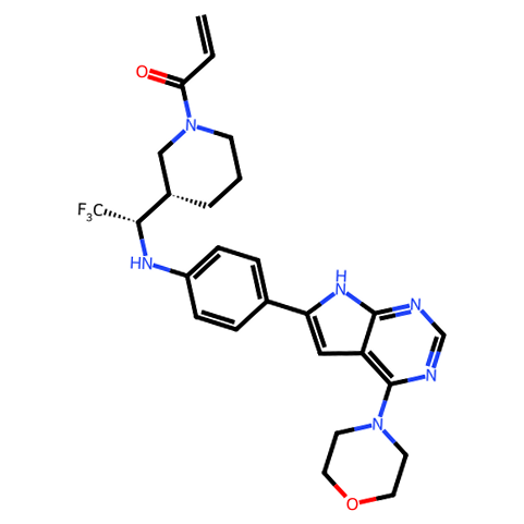 C=CC(=O)N1CCC[C@H]([C@H](Nc2ccc(-c3cc4c(N5CCOCC5)ncnc4[nH]3)cc2)C(F)(F)F)C1